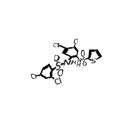 O=S(=O)(Nc1cc(Cl)c(Cl)cc1NS(=O)(=O)c1ccc(Cl)cc1Cl)c1cccs1